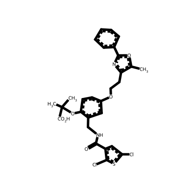 Cc1oc(-c2ccccc2)nc1CCOc1ccc(OC(C)(C)C(=O)O)c(CNC(=O)c2cc(Cl)sc2Cl)c1